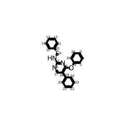 c1ccc(Oc2nc(NSc3ccccc3)ncc2-c2ccccc2)cc1